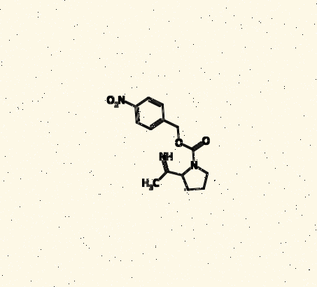 CC(=N)C1[CH]CCN1C(=O)OCc1ccc([N+](=O)[O-])cc1